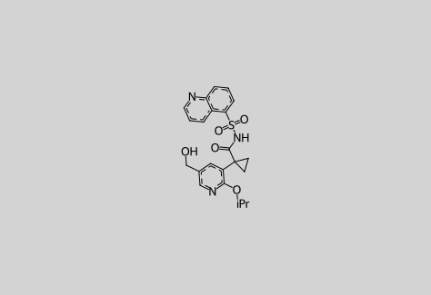 CC(C)Oc1ncc(CO)cc1C1(C(=O)NS(=O)(=O)c2cccc3ncccc23)CC1